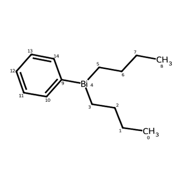 CCC[CH2][Bi]([CH2]CCC)[c]1ccccc1